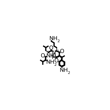 Cc1c(C(=O)[C@H](CCCCN)NC(=O)[C@H](CC(C)C)NC(=O)[C@@H](N)C(C)C)c(=O)oc2cc(N)ccc12